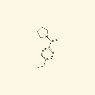 C=C(c1ccc(CC)cc1)N1CCCC1